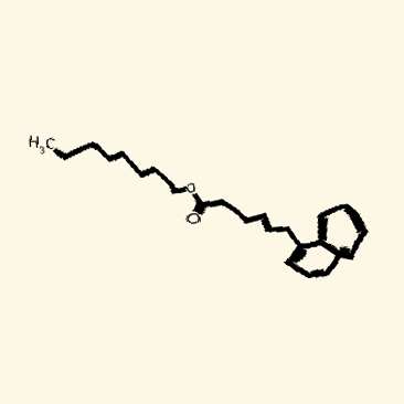 CCCCCCCCOC(=O)CCC=CCc1cccc2ccccc12